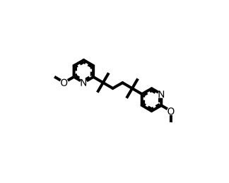 COc1ccc(C(C)(C)CCC(C)(C)c2cccc(OC)n2)cn1